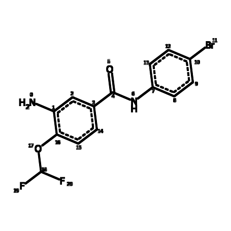 Nc1cc(C(=O)Nc2ccc(Br)cc2)ccc1OC(F)F